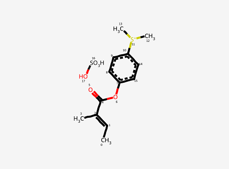 CC=C(C)C(=O)Oc1ccc([S+](C)C)cc1.O=S(=O)(O)O